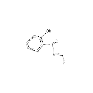 O=C(C=CF)c1ccccc1O